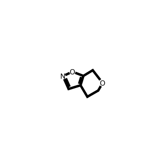 c1noc2c1CCOC2